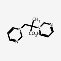 CC(CN1C=CC=NC1)(C(=O)O)N1C=CC=NC1